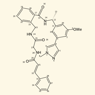 COc1cc(-c2cnn(C)c2)cc([C@@H](C)NC(=O)c2ccccc2CNC(=O)CNC(=O)/C=C/c2ccccc2)c1